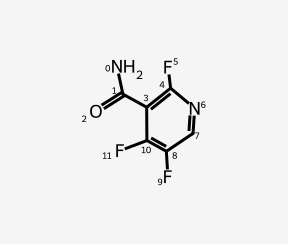 NC(=O)c1c(F)ncc(F)c1F